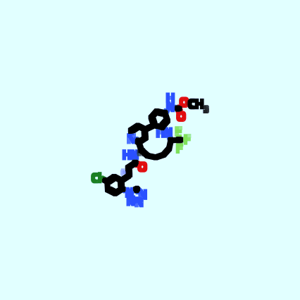 COC(=O)Nc1ccc2c(c1)NC(C(F)(F)F)CCCC[C@H](NC(=O)/C=C/c1cc(Cl)ccc1-n1cnnn1)c1cc-2ccn1